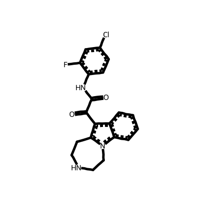 O=C(Nc1ccc(Cl)cc1F)C(=O)c1c2n(c3ccccc13)CCNCC2